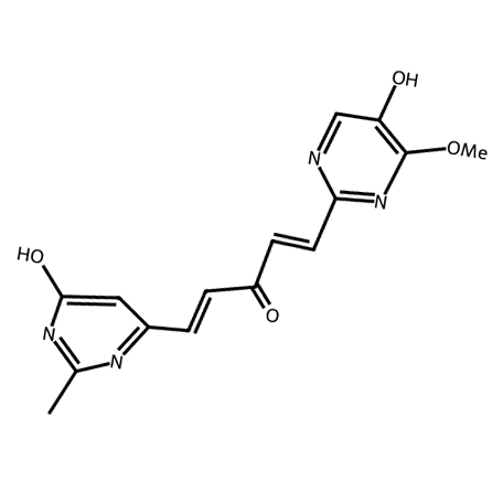 COc1nc(/C=C/C(=O)/C=C/c2cc(O)nc(C)n2)ncc1O